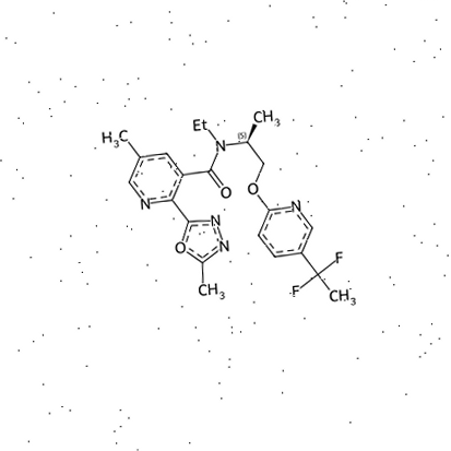 CCN(C(=O)c1cc(C)cnc1-c1nnc(C)o1)[C@@H](C)COc1ccc(C(C)(F)F)cn1